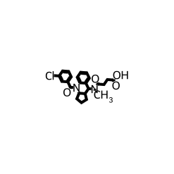 CN(C(=O)CCC(=O)O)C1c2ccccc2N(C(=O)c2cccc(Cl)c2)C2CCCC12